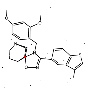 COc1ccc(CN2C(c3ccc4scc(C)c4c3)=NOC23CN2CCC3CC2)c(OC)c1